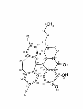 CCCC[C@@H]1CCN2C(=O)c3c(O)c(=O)ccn3N(C3c4ccc(F)cc4CCc4cc(F)ccc43)C2C1